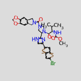 COC(=O)N[C@@H](C(=O)N1CN(C(=O)N2Cc3cc4c(cc3C2)OCO4)CC1c1nc(-c2cc3sc(Br)cc3s2)c[nH]1)C(C)C